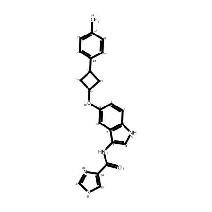 O=C(Nc1c[nH]c2ccc(OC3CC(c4ccc(C(F)(F)F)cc4)C3)cc12)c1cscn1